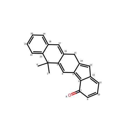 CC1(C)C2=CC3=C4C(=O)C=CC=C4C=C3CC2=Cc2ccccc21